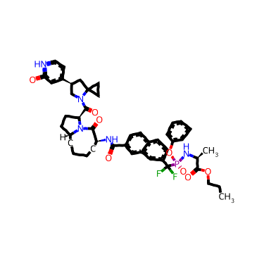 CCCOC(=O)[C@H](C)NP(=O)(Oc1ccccc1)C(F)(F)c1ccc2ccc(C(=O)N[C@H]3CCCC[C@H]4CC[C@@H](C(=O)N5C[C@@H](c6cc[nH]c(=O)c6)CC56CC6)N4C3=O)cc2c1